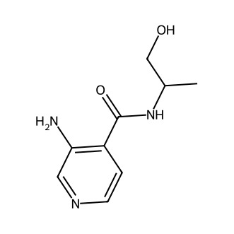 CC(CO)NC(=O)c1ccncc1N